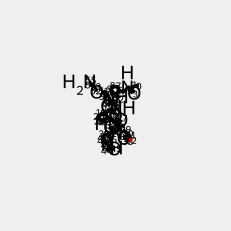 C=CC(=O)NCc1ccccc1C[C@H](NC(=O)Cc1ccccc1CNC(=O)[C@H](Cc1ccco1)NC(=O)[C@@H]1CCCN(C(C)=O)C1)C(=O)NCCOCCN